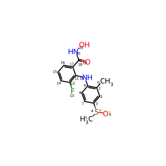 Cc1cc([S+](C)[O-])ccc1Nc1c(F)cccc1C(=O)NO